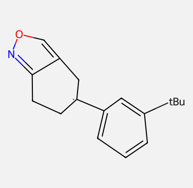 CC(C)(C)c1cccc([C]2CCc3nocc3C2)c1